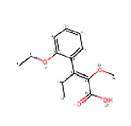 CCOc1ccccc1C(CC)=C(OC)C(=O)O